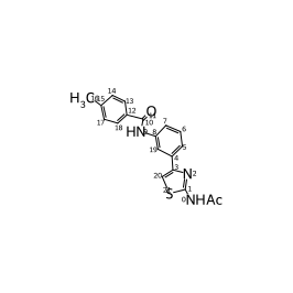 CC(=O)Nc1nc(-c2cccc(NC(=O)c3ccc(C)cc3)c2)cs1